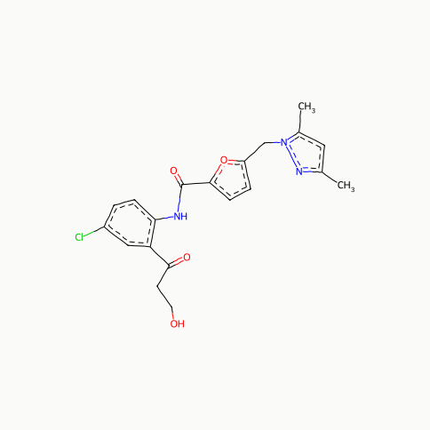 Cc1cc(C)n(Cc2ccc(C(=O)Nc3ccc(Cl)cc3C(=O)CCO)o2)n1